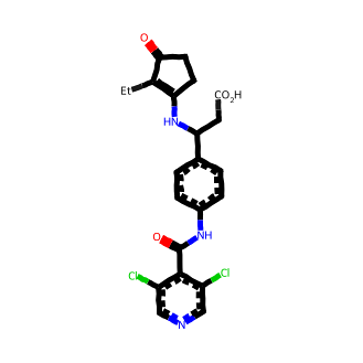 CCC1=C(NC(CC(=O)O)c2ccc(NC(=O)c3c(Cl)cncc3Cl)cc2)CCC1=O